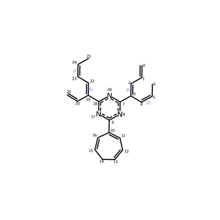 C=C/C=C(\C=C/C)c1nc(C2=CC=CCC=C2)nc(/C(C=C)=C/C=C\C)n1